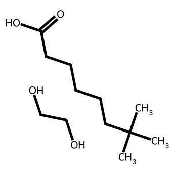 CC(C)(C)CCCCCC(=O)O.OCCO